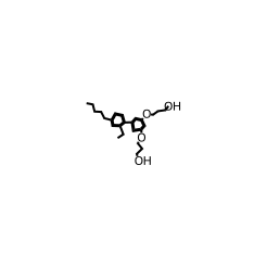 CCCCCc1ccc(-c2cc(OCCCO)cc(OCCCO)c2)c(CC)c1